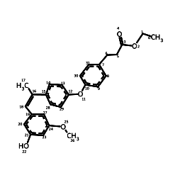 CCOC(=O)CCc1ccc(Oc2ccc(/C(C)=C\c3cc(O)cc(OC)c3)cc2)cc1